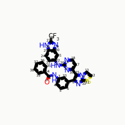 O=C(Nc1cccc(-c2nc3sccn3c2-c2ccnc(Nc3ccc4[nH]c(C(F)(F)F)nc4c3)n2)c1)c1ccccc1